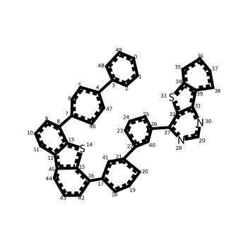 c1ccc(-c2ccc(-c3cccc4c3sc3c(-c5cccc(-c6cccc(-c7ncnc8c7sc7ccccc78)c6)c5)cccc34)cc2)cc1